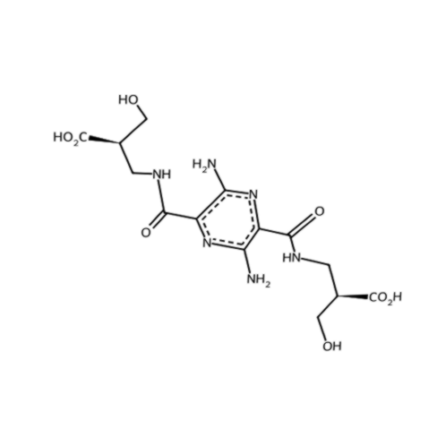 Nc1nc(C(=O)NC[C@H](CO)C(=O)O)c(N)nc1C(=O)NC[C@H](CO)C(=O)O